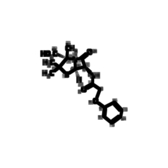 CC1(C)S[C@@H]2[C@H](NC(=O)COc3ccccc3)C(=O)N2[C@@]1(C)C(=O)O